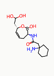 NC1(CC(=O)N[C@H]2CC=C[C@H](CC(O)O)OB2O)CCCCC1